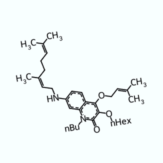 CCCCCCOc1c(OCC=C(C)C)c2ccc(NCC=C(C)CCC=C(C)C)cc2n(CCCC)c1=O